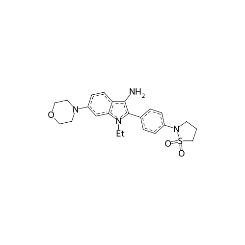 CCn1c(-c2ccc(N3CCCS3(=O)=O)cc2)c(N)c2ccc(N3CCOCC3)cc21